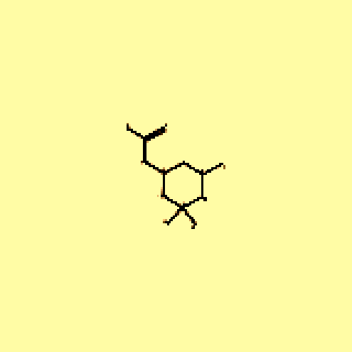 C=C(C)CC1CC(C)CC(C)(C)C1